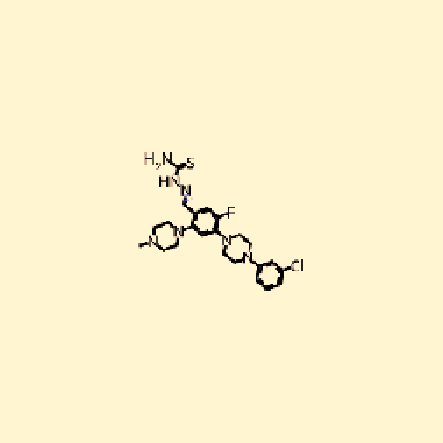 CN1CCN(c2cc(N3CCN(c4cccc(Cl)c4)CC3)c(F)cc2/C=N/NC(N)=S)CC1